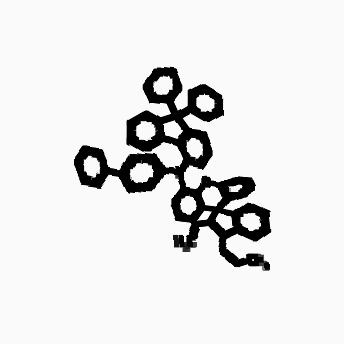 C=CC1=C(/C=C\C)c2ccccc2C12c1ccccc1Oc1c(N(c3ccc(-c4ccccc4)cc3)c3cccc4c3-c3ccccc3C4(c3ccccc3)c3ccccc3)cccc12